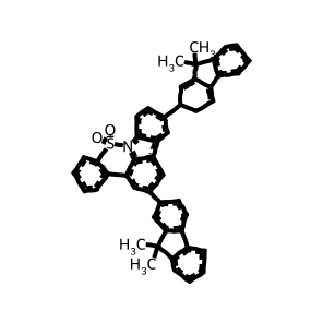 CC1(C)C2=CC(c3ccc4c(c3)c3cc(-c5ccc6c(c5)C(C)(C)c5ccccc5-6)cc5c3n4S(=O)(=O)c3ccccc3-5)CC=C2c2ccccc21